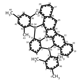 Cc1cc(C)c(B2c3cccc4c3-n3c5c2c2ccccc2cc5c2cc5ccccc5c(c23)B4c2c(C)cc(C)cc2C)c(C)c1